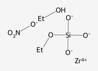 CCO.CCO[Si]([O-])([O-])[O-].O=[N+]([O-])[O-].[Zr+4]